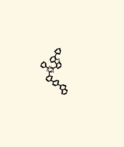 c1ccc(-c2nc(-c3cccc(-c4ccc(-c5ccc6ccccc6c5)cc4)c3)nc(-c3cccc4sc5c(-c6ccccc6)cccc5c34)n2)cc1